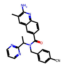 Cc1cc2cc(C(=O)N(Cc3ccc(C#N)cc3)C(C)c3ncccn3)ccc2nc1N